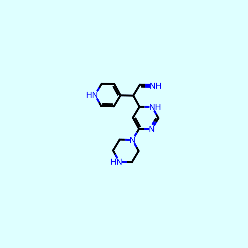 N=CC(C1=CCNC=C1)C1C=C(N2CCNCC2)N=CN1